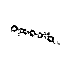 Cc1ccc(S(=O)(=O)O[C@H]2CCN(c3ccc(-n4cc5c(n4)CN(c4cccnc4)C5=O)cn3)C2)cc1